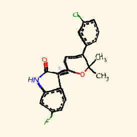 CC1(C)O/C(=C2/C(=O)Nc3cc(F)ccc32)C=C1c1cccc(Cl)c1